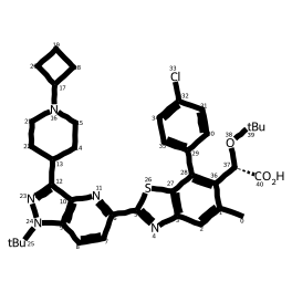 Cc1cc2nc(-c3ccc4c(n3)c(C3CCN(C5CCC5)CC3)nn4C(C)(C)C)sc2c(-c2ccc(Cl)cc2)c1[C@H](OC(C)(C)C)C(=O)O